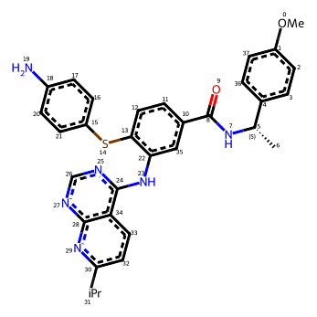 COc1ccc([C@H](C)NC(=O)c2ccc(Sc3ccc(N)cc3)c(Nc3ncnc4nc(C(C)C)ccc34)c2)cc1